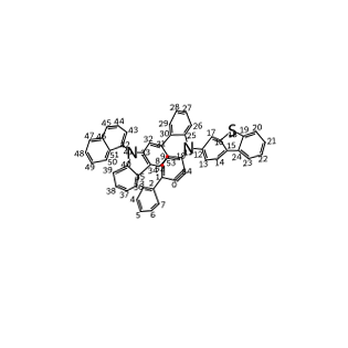 c1c(-c2ccccc2)ccc(N(c2ccc3c(c2)sc2ccccc23)c2ccccc2C2=Cc3c(c4ccccc4n3-c3cccc4ccccc34)CC2)c#1